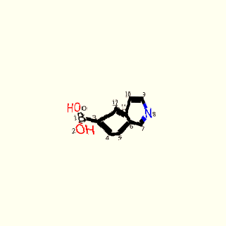 OB(O)c1ccc2cnccc2c1